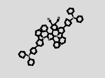 N#Cc1ccc(-c2c(-c3ccccc3)c(-n3c4ccccc4c4cc(-c5ccc(N(c6ccccc6)c6ccccc6)cc5)ccc43)nc(-c3ccccc3)c2-n2c3ccccc3c3cc(-c4ccc(N(c5ccccc5)c5ccccc5)cc4)ccc32)cc1C#N